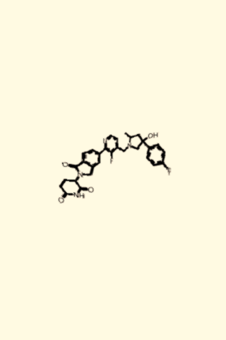 CC1CC(O)(c2ccc(F)cc2)CN1Cc1ccnc(-c2ccc3c(c2)CN(C2CCC(=O)NC2=O)C3=O)c1F